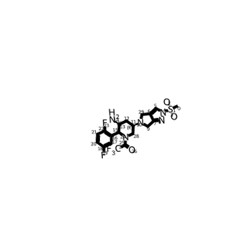 CS(=O)(=O)n1cc2c(n1)CN([C@@H]1C[C@H](N)C(c3cc(F)ccc3F)N(C(=O)C(F)(F)F)C1)C2